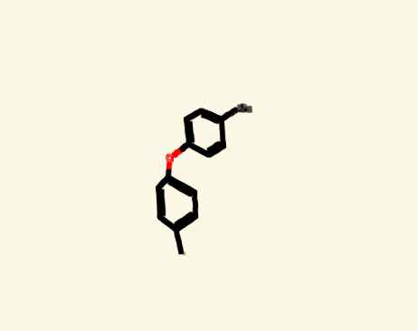 [CH2]c1ccc(Oc2ccc(C(C)(C)C)cc2)cc1